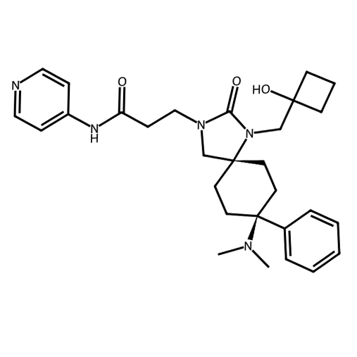 CN(C)[C@]1(c2ccccc2)CC[C@@]2(CC1)CN(CCC(=O)Nc1ccncc1)C(=O)N2CC1(O)CCC1